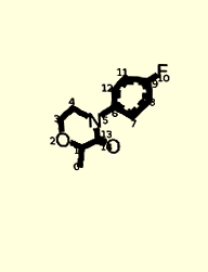 CC1OCCN(c2ccc(F)cc2)C1=O